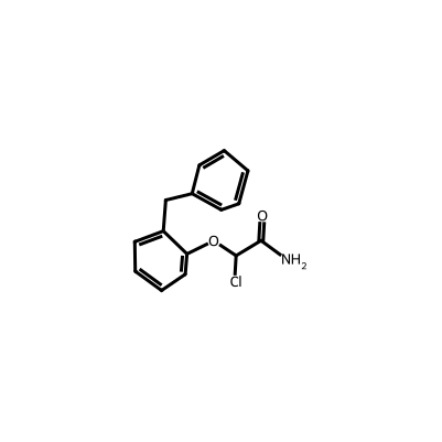 NC(=O)C(Cl)Oc1ccccc1Cc1ccccc1